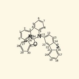 c1ccc(-c2ccccc2N(c2ccc3sc4ccccc4c3c2)c2nc3ccccc3o2)cc1